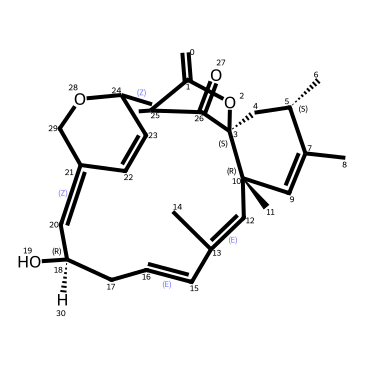 C=C1O[C@@]23C[C@H](C)C(C)=C[C@]2(C)/C=C(C)/C=C/C[C@@H](O)/C=C2C=C/C(=C\1C3=O)OC/2